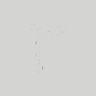 CN(c1ccccc1)c1ccc2c(c1)c1c(n2-c2ccccc2)C=CC(c2ccc(-c3ccccc3)cc2)C1